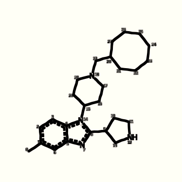 Cc1ccc2c(c1)nc(C1CCNC1)n2C1CCN(CC2CCCCCCC2)CC1